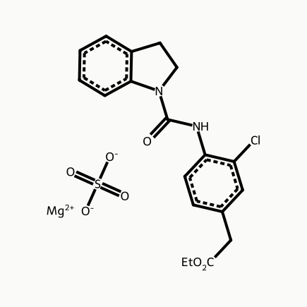 CCOC(=O)Cc1ccc(NC(=O)N2CCc3ccccc32)c(Cl)c1.O=S(=O)([O-])[O-].[Mg+2]